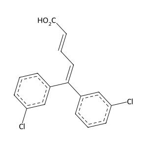 O=C(O)/C=C/C=C(c1cccc(Cl)c1)c1cccc(Cl)c1